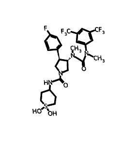 CN(C(=O)N(C)[C@@H]1CN(C(=O)NC2CCS(O)(O)CC2)C[C@H]1c1ccc(F)cc1)c1cc(C(F)(F)F)cc(C(F)(F)F)c1